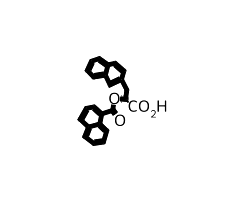 O=C(O[C@H](Cc1ccc2ccccc2c1)C(=O)O)c1cccc2ccccc12